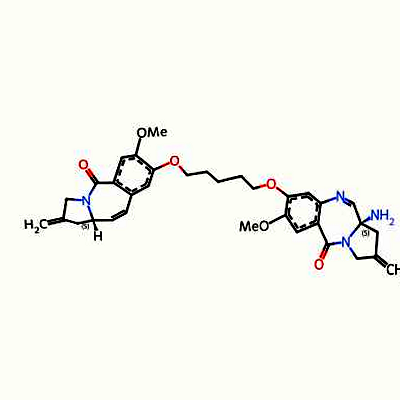 C=C1C[C@H]2C=Cc3cc(OCCCCCOc4cc5c(cc4OC)C(=O)N4CC(=C)C[C@@]4(N)C=N5)c(OC)cc3C(=O)N2C1